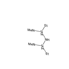 CC[SiH](NC)N[SiH](CC)NC